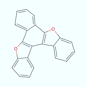 c1ccc2c(c1)oc1c3ccccc3c3oc4ccccc4c3c21